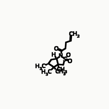 C=CCCC(=O)N1[C@H]2C[C@H](C)C(C)(C)[C@@]2(C)CS1(=O)=O